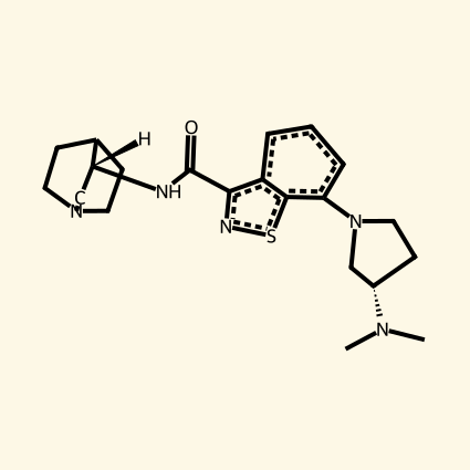 CN(C)[C@H]1CCN(c2cccc3c(C(=O)N[C@@H]4CN5CCC4CC5)nsc23)C1